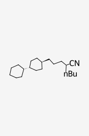 CCCCC(C#N)CCC[C@H]1CC[C@H](C2CCCCC2)CC1